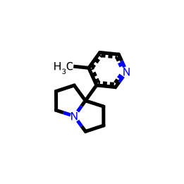 Cc1ccncc1C12CCCN1CCC2